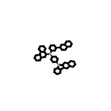 c1cc(-c2ccc3ccccc3c2)cc(N(c2ccc(-n3c4ccccc4c4cc5ccccc5cc43)cc2)c2cc3ccccc3c3ccccc23)c1